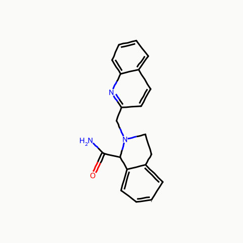 NC(=O)C1c2cc[c]cc2CCN1Cc1ccc2ccccc2n1